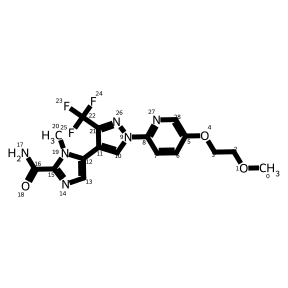 COCCOc1ccc(-n2cc(-c3cnc(C(N)=O)n3C)c(C(F)(F)F)n2)nc1